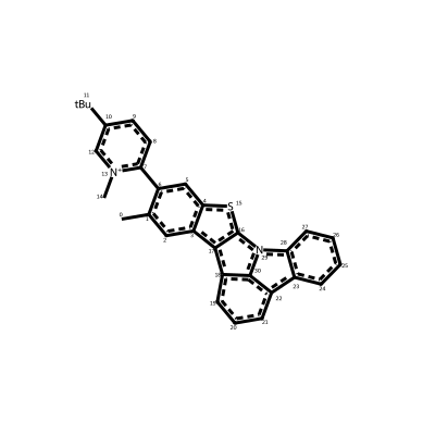 Cc1cc2c(cc1-c1ccc(C(C)(C)C)c[n+]1C)sc1c2c2cccc3c4ccccc4n1c32